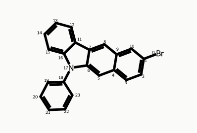 Brc1ccc2cc3c(cc2c1)c1ccccc1n3-c1ccccc1